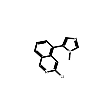 Cn1cncc1-c1cccc2cnc(Cl)cc12